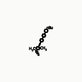 CCCCC1CCC(c2ccc(-c3ccc(C#Cc4cc(C)c(N=C=S)cc4C)cc3)cc2)CC1